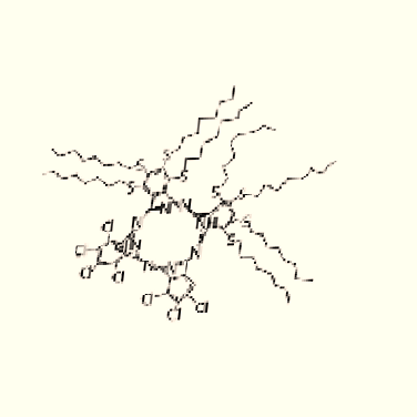 CCCCCCCCSc1c(SCCCCCCCC)c(SCCCCCCCC)c2c(c1SCCCCCCCC)-c1nc-2nc2c3c(Cl)c(Cl)c(Cl)c(Cl)c3c(nc3nc(nc4[nH]c(n1)c1c(SCCCCCCCC)c(SCCCCCCCC)c(SCCCCCCCC)c(SCCCCCCCC)c41)-c1cc(Cl)c(Cl)c(Cl)c1-3)n2Cl